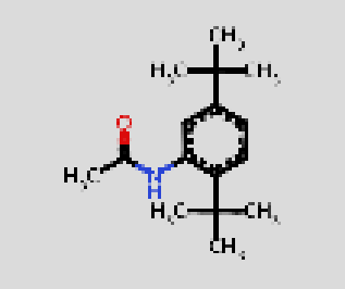 CC(=O)Nc1cc(C(C)(C)C)ccc1C(C)(C)C